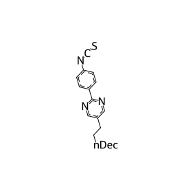 CCCCCCCCCCCCc1cnc(-c2ccc(N=C=S)cc2)nc1